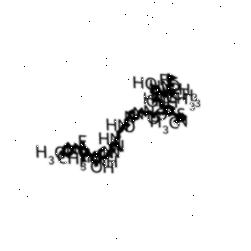 Cc1ncsc1-c1ccc(CNC(=O)[C@@H]2C[C@@H](O)CN2C(=O)[C@@H](NC(=O)C2(F)CC2)C(C)(C)C)c(OCC(=O)NCCN2CCN(CC(=O)NCCCNc3cc(N4CCC5(CC4)CN(c4cc(F)c(CN6CCC(C)(C)CC6)cc4F)CC(O)N5)ncn3)CC2)c1